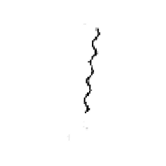 CCCCCCCCCCCCCCCCONC=O